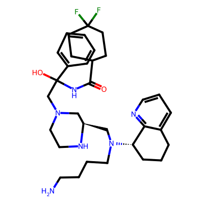 NCCCCN(C[C@@H]1CN(CC(O)(NC(=O)C2CCC(F)(F)CC2)c2ccccc2)CCN1)[C@H]1CCCc2cccnc21